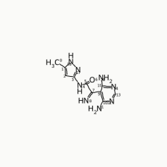 Cc1cc(NC(=O)C(=N)c2c(N)ncnc2N)n[nH]1